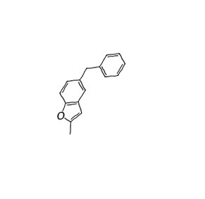 Cc1cc2cc(Cc3ccccc3)ccc2o1